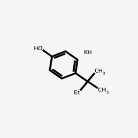 CCC(C)(C)c1ccc(O)cc1.[KH]